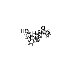 O=C(Nc1ccccc1N1CCC(O)CC1)c1csc(N2C(=O)c3sccc32)n1